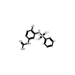 O=C(O)Nc1ccc(Cl)c(NS(=O)(=O)c2ccccc2)c1